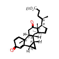 CCOC(=O)CC[C@@H](C)[C@H]1CC[C@@]2(C)[C@@H]3[C@@H]4C[C@@H]4C4=CC(=O)CC[C@]4(C)[C@H]3CC(=O)[C@]12C